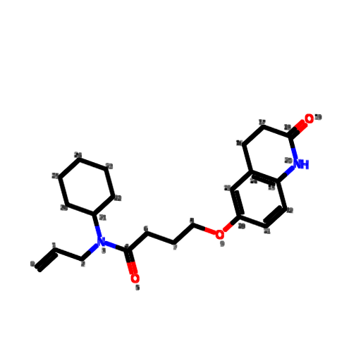 C=CCN(C(=O)CCCOc1ccc2c(c1)CCC(=O)N2)C1CCCCC1